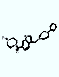 CC(C)N1CCN(C(=O)c2ccc3c(CN4CCC(c5ccccc5)CC4)c[nH]c3c2)CC1